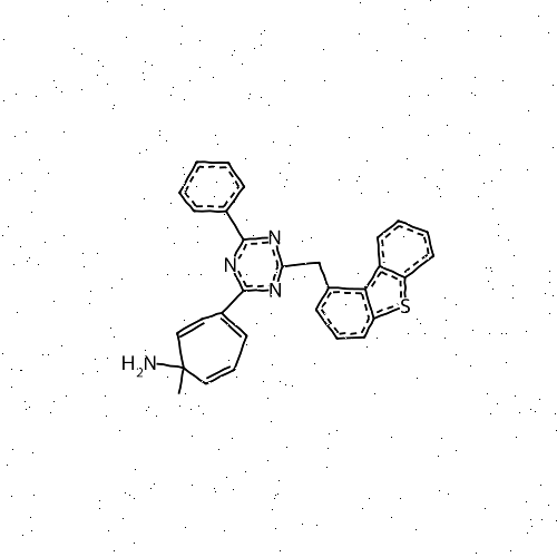 CC1(N)C=CC=C(c2nc(Cc3cccc4sc5ccccc5c34)nc(-c3ccccc3)n2)C=C1